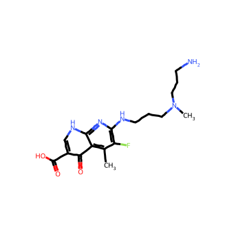 Cc1c(F)c(NCCCN(C)CCCN)nc2[nH]cc(C(=O)O)c(=O)c12